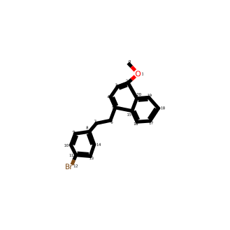 COc1ccc(CCc2ccc(Br)cc2)c2ccccc12